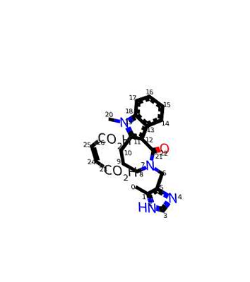 Cc1[nH]cnc1CN1CCCc2c(c3ccccc3n2C)C1=O.O=C(O)/C=C\C(=O)O